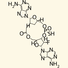 Nc1ncnc2c1ncn2[C@@H]1O[C@@H]2CO[P@@](=O)(S)O[C@H]3[C@@H](F)[C@H](n4cnc5c(N)ncnc54)O[C@@H]3COC(=O)C[C@@H]1C2